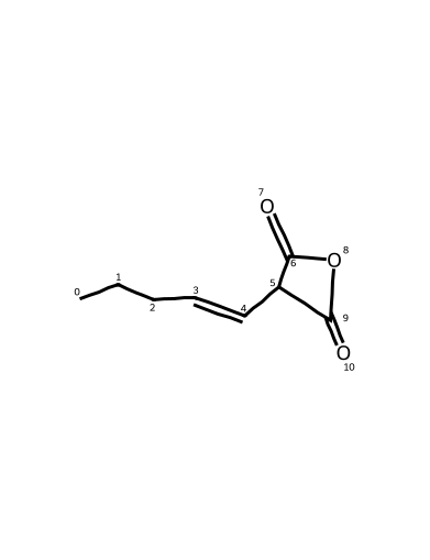 CCC/C=C/C1C(=O)OC1=O